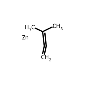 C=C=C(C)C.[Zn]